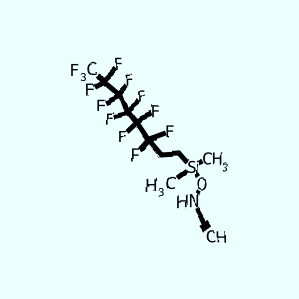 C#CNO[Si](C)(C)CCC(F)(F)C(F)(F)C(F)(F)C(F)(F)C(F)(F)C(F)(F)F